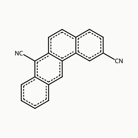 N#Cc1ccc2ccc3c(C#N)c4ccccc4cc3c2c1